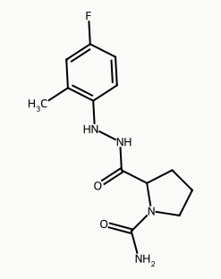 Cc1cc(F)ccc1NNC(=O)C1CCCN1C(N)=O